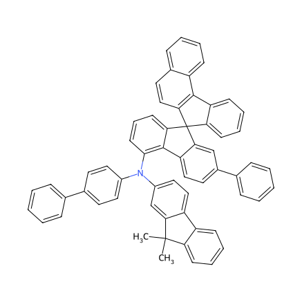 CC1(C)c2ccccc2-c2ccc(N(c3ccc(-c4ccccc4)cc3)c3cccc4c3-c3ccc(-c5ccccc5)cc3C43c4ccccc4-c4c3ccc3ccccc43)cc21